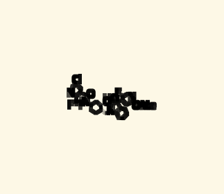 COc1cc(C2(O)C(=O)N(C[C@H]3CC[C@H](NC(=O)c4cc(Cl)cnc4C(F)F)CC3)c3ccccc32)c(F)cn1